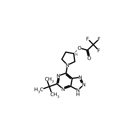 CC(C)(C)c1nc(N2CC[C@H](OC(=O)C(F)(F)F)C2)c2nn[nH]c2n1